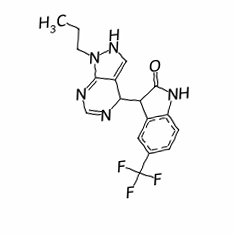 CCCN1NC=C2C1=NC=NC2C1C(=O)Nc2ccc(C(F)(F)F)cc21